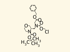 CC(C)(C)OC(=O)N1CCOC[C@H]1CN(CC(=O)OCc1ccccc1)C(=O)OCCl